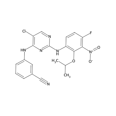 CC(C)Oc1c(Nc2ncc(Cl)c(Nc3cccc(C#N)c3)n2)ccc(F)c1[N+](=O)[O-]